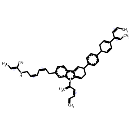 C=C/C=C\C(=C)n1c2c(c3ccc(C/C=C\C=C/CN/C(=C/C)CCC)cc31)=CC(c1ccc(C3C=CC(C(/C=C\C)=C/C)=CC3)cc1)CC=2